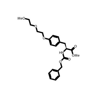 COCCOCCOc1ccc(C[C@H](NC(=O)OCc2ccccc2)C(=O)OC)cc1